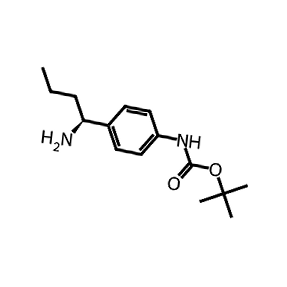 CCC[C@H](N)c1ccc(NC(=O)OC(C)(C)C)cc1